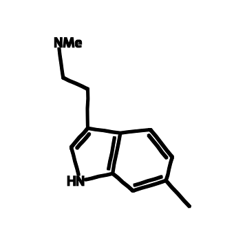 CNCCc1c[nH]c2cc(C)ccc12